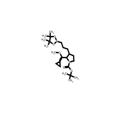 COC(=C1CC1)C1C(CCCB2OC(C)(C)C(C)(C)O2)CCN1C(=O)OC(C)(C)C